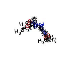 C=C(OCCCC)c1c(C)c2cnc(Nc3ccc(N4CCN(C(=O)OC(C)(C)C)CC4)cn3)nc2n(C2CCCC2)c1=O